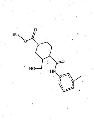 Cc1cccc(NC(=O)N2CCN(C(=O)OC(C)(C)C)CC2CO)c1